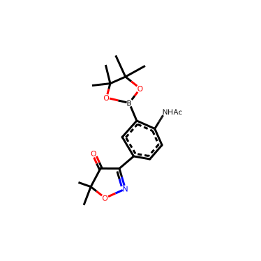 CC(=O)Nc1ccc(C2=NOC(C)(C)C2=O)cc1B1OC(C)(C)C(C)(C)O1